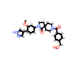 COc1cc(N2CCC3(CCN(C(=O)c4ccc(CO)cc4)CC3)C2=O)ccc1-c1cn[nH]c1